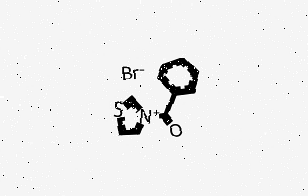 O=C(c1ccccc1)[n+]1ccsc1.[Br-]